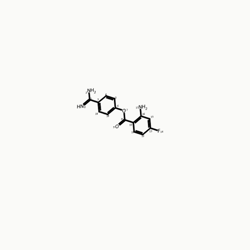 N=C(N)c1ccc(OC(=O)c2ccc(F)cc2N)cc1